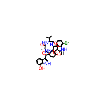 CC(C)C1NC(=O)[C@@H](C)Cc2ccc3c(c2)C2(c4cccc(Br)c4N[C@H]2O3)c2oc1nc2C(=O)NCC(=O)c1c[nH]c2c(O)cccc12